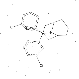 N#CC1(c2cncc(Cl)c2)CC2CCCC(C1)N2Cc1cccc(Cl)c1